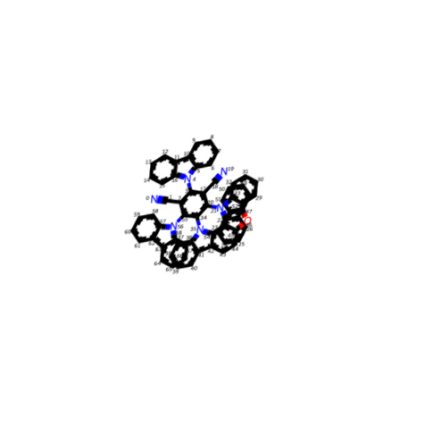 N#Cc1c(-n2c3ccccc3c3ccccc32)c(C#N)c(-n2c3ccccc3c3ccccc32)c(-n2c3ccccc3c3ccc4oc5ccccc5c4c32)c1-n1c2ccccc2c2ccccc21